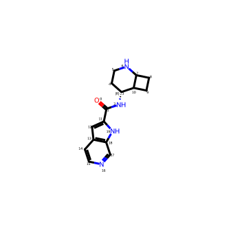 O=C(N[C@@H]1CCNC2CCC21)c1cc2ccncc2[nH]1